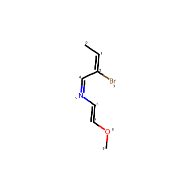 C\C=C(Br)/C=N\C=C\OC